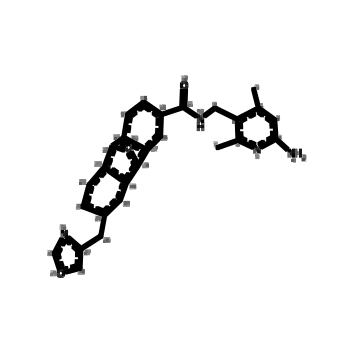 Cc1cc(N)nc(C)c1CNC(=O)c1ccc2c(c1)c1oc2c2ccc(Cc3cocn3)cc21